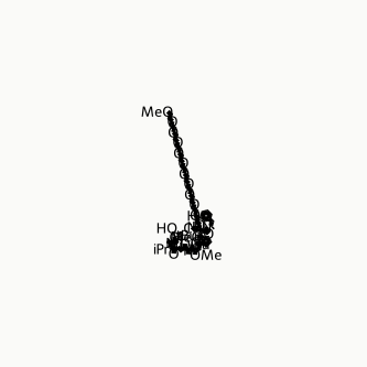 CCC(C)C(C(CC(=O)N1CCCC1C(OC)[C@H](C(=O)N[C@H](C)Cc1ccccc1)C(CNC(=O)O)OCCOCCOCCOCCOCCOCCOCCOCCOCCOCCOCCOC)OC)N(C)C(=O)CNC(=O)C(C(C)C)N(C)C(=O)OC(C)(C)C